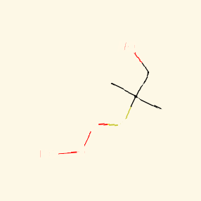 CC(C)(CO)SOOO